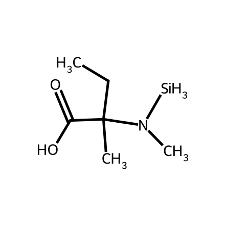 CCC(C)(C(=O)O)N(C)[SiH3]